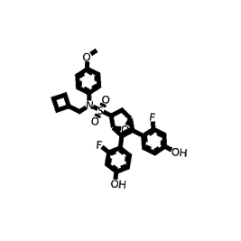 COc1ccc(N(CC2CCC2)S(=O)(=O)C2CC3OC2C(c2ccc(O)cc2F)=C3c2ccc(O)cc2F)cc1